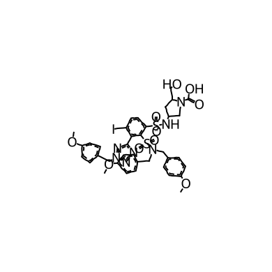 COc1ccc(CN(Cc2ccc(OC)cc2)S(=O)(=O)c2c(S(=O)(=O)NC3CC(CO)N(C(=O)O)C3)ccc(I)c2-c2nnn(Cc3ccc(OC)cc3)n2)cc1